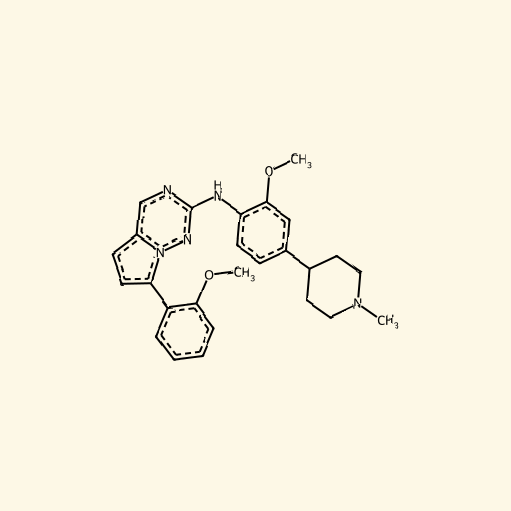 COc1cc(C2CCN(C)CC2)ccc1Nc1ncc2ccc(-c3ccccc3OC)n2n1